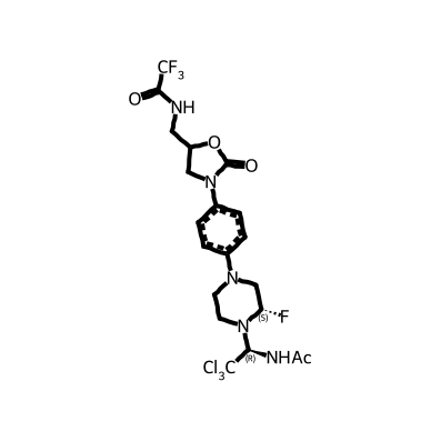 CC(=O)N[C@H](N1CCN(c2ccc(N3CC(CNC(=O)C(F)(F)F)OC3=O)cc2)C[C@@H]1F)C(Cl)(Cl)Cl